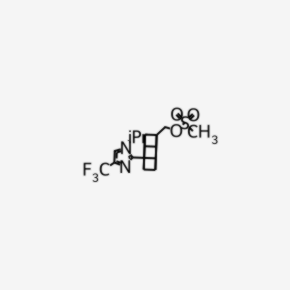 CC(C)n1cc(C(F)(F)F)nc1C12C3C4C1C1C2C3C41COS(C)(=O)=O